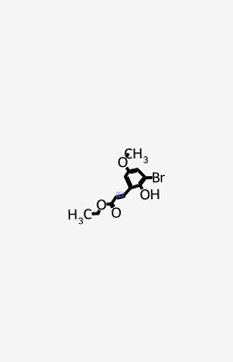 CCOC(=O)/C=C/c1cc(OC)cc(Br)c1O